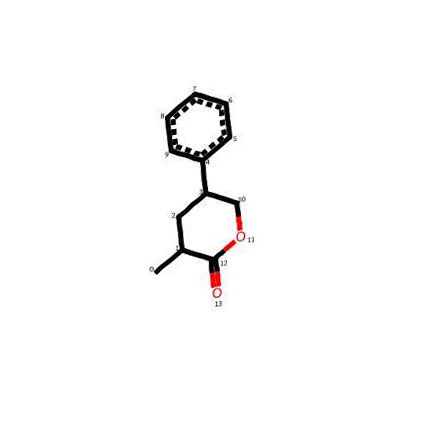 CC1CC(c2ccccc2)COC1=O